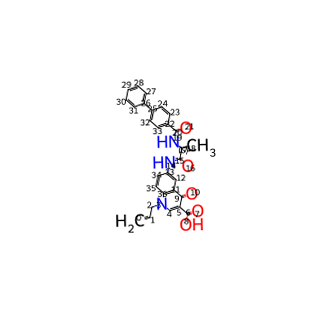 C=CCn1cc(C(=O)O)c(=O)c2cc(NC(=O)[C@H](C)NC(=O)c3ccc(-c4ccccc4)cc3)ccc21